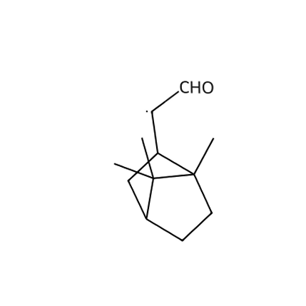 CC1(C)C2CCC1(C)C([CH]C=O)C2